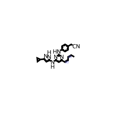 C/C=C\C=C/c1cc(Nc2cc(C3CC3)n[nH]2)nc(Nc2ccc(CC#N)cc2)n1